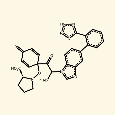 CCCCCCC(C(=O)C1(ON2CCC[C@H]2C(=O)O)C=CC(=S)C=C1)n1cnc2cc(-c3ccccc3-c3nn[nH]n3)ccc21